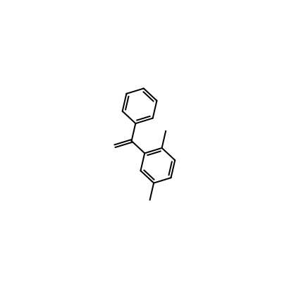 C=C(c1ccccc1)c1cc(C)ccc1C